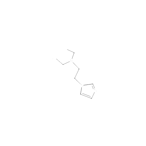 CCN(CC)CCn1ccnc1